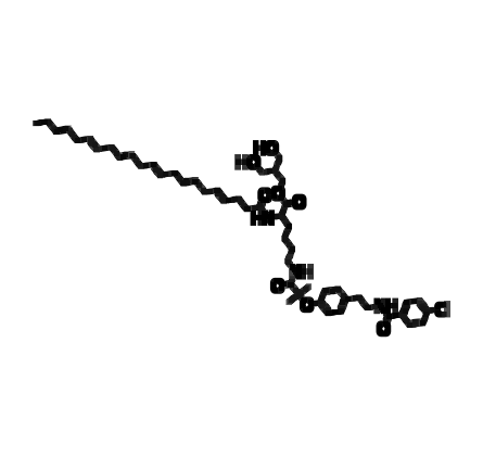 CCC=CCC=CCC=CCC=CCC=CCC=CCCC(=O)NC(CCCCNC(=O)C(C)(C)Oc1ccc(CCNC(=O)c2ccc(Cl)cc2)cc1)C(=O)OCC(CO)CO